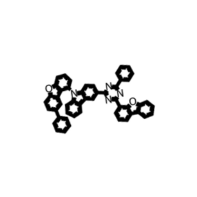 c1ccc(-c2ccc3oc4cccc(-n5c6ccccc6c6cc(-c7nc(-c8ccccc8)nc(-c8cccc9c8oc8ccccc89)n7)ccc65)c4c3c2)cc1